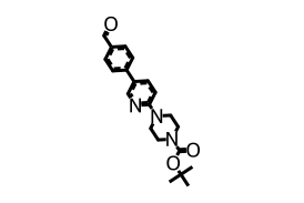 CC(C)(C)OC(=O)N1CCN(c2ccc(-c3ccc(C=O)cc3)cn2)CC1